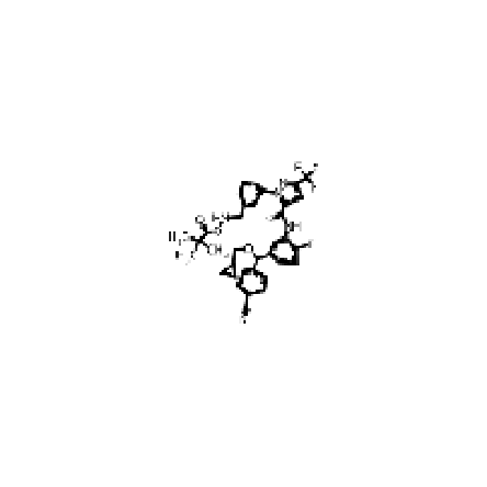 CC(C)(C)C(=O)ONCc1cccc(-n2nc(C(F)(F)F)cc2C(=O)Nc2cc(C(OCC3CC3)c3ccc(C#N)cc3)ccc2F)c1